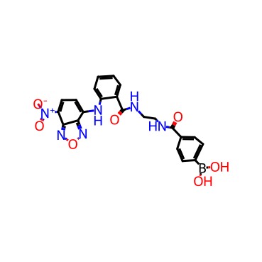 O=C(NCCNC(=O)c1ccccc1Nc1ccc([N+](=O)[O-])c2nonc12)c1ccc(B(O)O)cc1